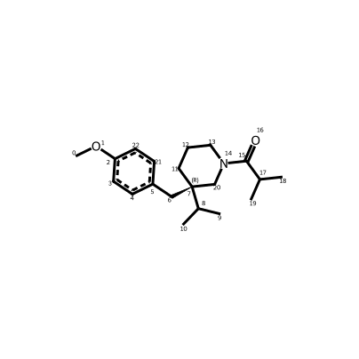 COc1ccc(C[C@@]2(C(C)C)CCCN(C(=O)C(C)C)C2)cc1